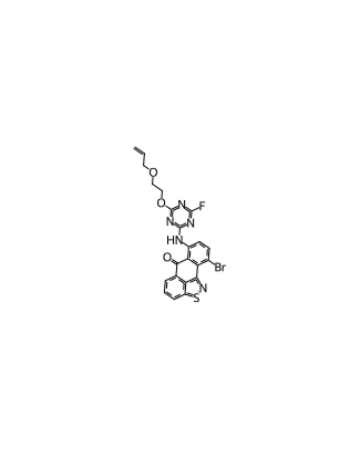 C=CCOCCOc1nc(F)nc(Nc2ccc(Br)c3c2C(=O)c2cccc4snc-3c24)n1